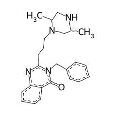 CC1CN(CCCc2nc3ccccc3c(=O)n2Cc2ccccc2)C(C)CN1